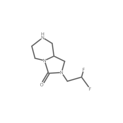 O=C1N(CC(F)F)CC2CNCCN12